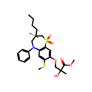 CCCC[C@]1(C)CN(c2ccccc2)c2cc(SC)c(OCC(C)(O)C(=O)OC)cc2S(=O)(=O)C1